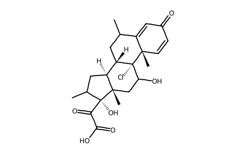 CC1C[C@H]2[C@@H]3CC(C)[C@](O)(C(=O)C(=O)O)[C@@]3(C)CC(O)[C@]2(Cl)[C@@]2(C)C=CC(=O)C=C12